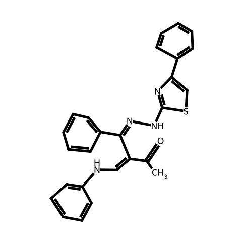 CC(=O)C(=C/Nc1ccccc1)/C(=N\Nc1nc(-c2ccccc2)cs1)c1ccccc1